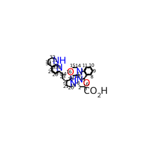 O=C(O)CC[C@@H](NC(=O)c1ccccc1N1CCOCC1)N1CC[C@@H](CCc2ccc3c(n2)NCCC3)C1